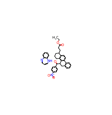 C1=CNc2ccccc2N=C1.CCOC(=O)CCC1CCCc2c1ccc1c2C(C(=O)c2ccc([N+](=O)[O-])cc2)Cc2ccccc2-1